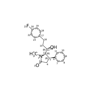 CN1C(=O)C[C@H](c2ccccc2)[C@@H]1[C@H](O)CCc1ccc(F)cc1